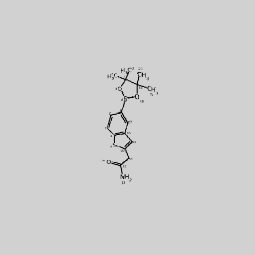 CC1(C)OB(c2ccc3sc(CC(N)=O)cc3c2)OC1(C)C